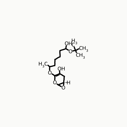 CC(CCCCC(O)OC(C)(C)C)OC1=C(O)C[C@H]2OC2O1